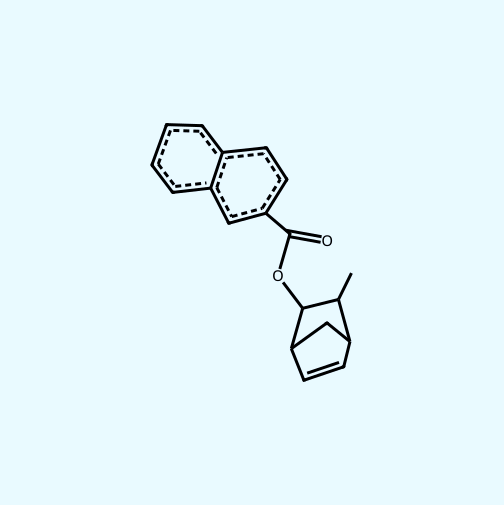 CC1C2C=CC(C2)C1OC(=O)c1ccc2ccccc2c1